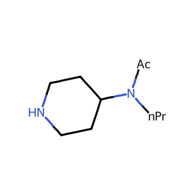 CCCN(C(C)=O)C1CCNCC1